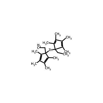 CC[C]1([Zn][C]2(CC)C(C)=C(C)C(C)=C2C)C(C)=C(C)C(C)=C1C